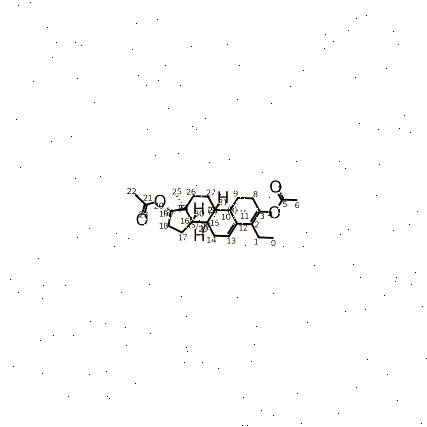 CCC1=C(OC(C)=O)CC[C@@]2(C)C1=CC[C@H]1[C@@H]3CC[C@H](OC(C)=O)[C@@]3(C)CC[C@@H]12